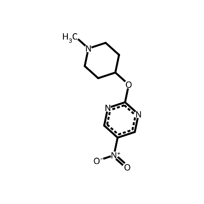 CN1CCC(Oc2ncc([N+](=O)[O-])cn2)CC1